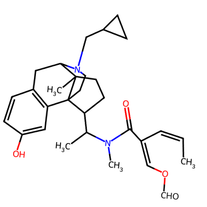 C/C=C\C(=C/OC=O)C(=O)N(C)C(C)C1CCC2(C)C3Cc4ccc(O)cc4C12CCN3CC1CC1